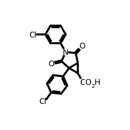 O=C(O)C1C2C(=O)N(c3cccc(Cl)c3)C(=O)C12c1ccc(Cl)cc1